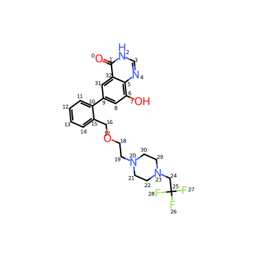 O=c1[nH]cnc2c(O)cc(-c3ccccc3COCCN3CCN(CC(F)(F)F)CC3)cc12